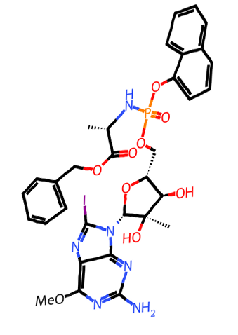 COc1nc(N)nc2c1nc(I)n2[C@@H]1O[C@H](COP(=O)(N[C@@H](C)C(=O)OCc2ccccc2)Oc2cccc3ccccc23)[C@@H](O)[C@@]1(C)O